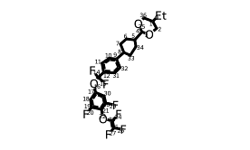 CCC1COC(C2CCC(c3ccc(C(F)(F)Oc4cc(F)c(OC(F)=C(F)F)c(F)c4)cc3)CC2)OC1